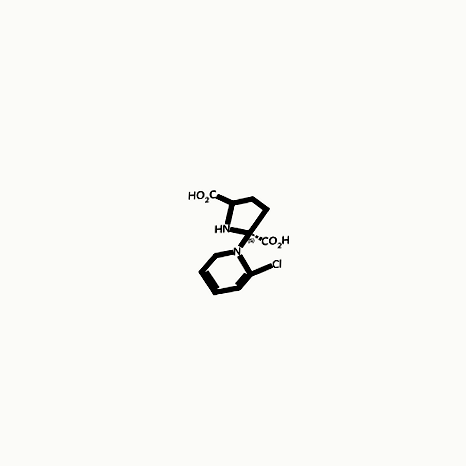 O=C(O)C1CC[C@@](C(=O)O)(N2CC=CC=C2Cl)N1